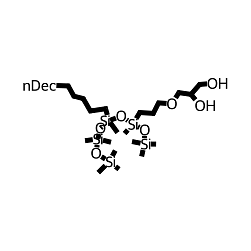 CCCCCCCCCCCCCCC[Si](C)(O[Si](C)(C)O[Si](C)(C)C)O[Si](C)(CCCOCC(O)CO)O[Si](C)(C)C